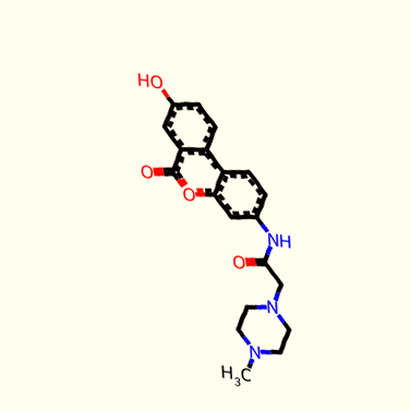 CN1CCN(CC(=O)Nc2ccc3c(c2)oc(=O)c2cc(O)ccc23)CC1